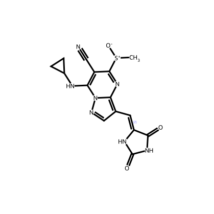 C[S+]([O-])c1nc2c(/C=C3\NC(=O)NC3=O)cnn2c(NC2CC2)c1C#N